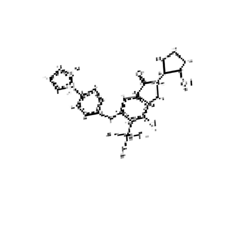 O=C1c2cc(Cc3ccc(-n4cccn4)cc3)c(C(F)(F)F)c(Cl)c2CN1C1CCCC1O